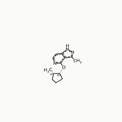 Cc1n[nH]c2ccnc(O[C@@H]3CCC[C@@H]3C)c12